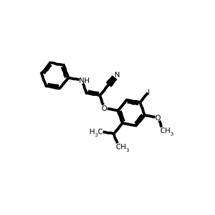 COc1cc(C(C)C)c(O/C(C#N)=C/Nc2ccccc2)cc1I